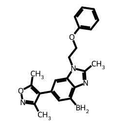 Bc1cc(-c2c(C)noc2C)cc2c1nc(C)n2CCOc1ccccc1